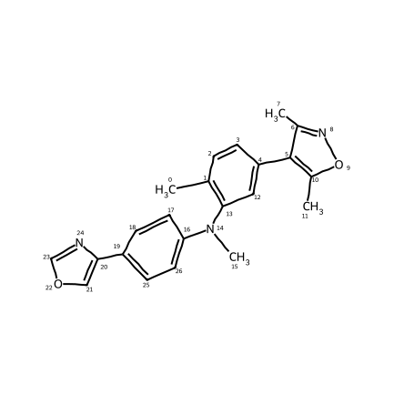 Cc1ccc(-c2c(C)noc2C)cc1N(C)c1ccc(-c2cocn2)cc1